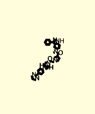 CN(C(=O)C1CCN(CC(=O)N2C[C@@H]3C[C@H]2CN3c2ccc(-c3ncccn3)cc2)C1)c1ccc2[nH]nc(-c3ccccc3)c2c1